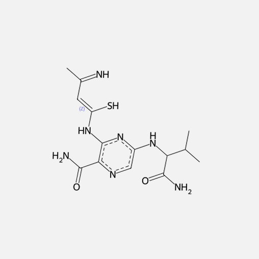 CC(=N)/C=C(\S)Nc1nc(NC(C(N)=O)C(C)C)cnc1C(N)=O